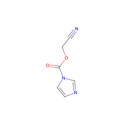 N#CCOC(=O)n1ccnc1